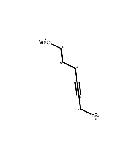 [CH2]CCCCC#CCCCOC